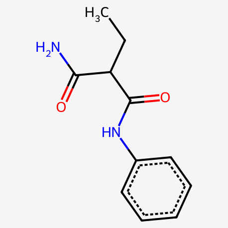 CCC(C(N)=O)C(=O)Nc1ccccc1